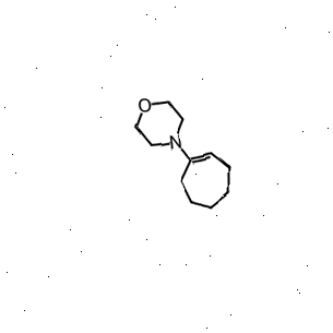 C1=C(N2CCOCC2)CCCCC1